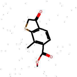 COC(=O)c1ccc2c(c1C)SCC2=O